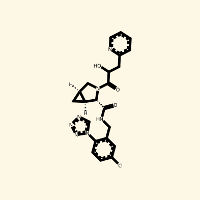 O=C(NCc1cc(Cl)ccc1-n1cnnn1)[C@@H]1[C@H]2C[C@H]2CN1C(=O)C(O)Cc1ccccn1